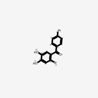 CC(C)c1ccc(C(=O)c2cc(O)c(O)cc2Br)cc1